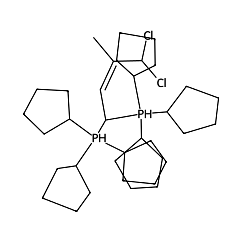 CC(=CC([PH](C1CCCC1)(C1CCCC1)C1CCCC1)[PH](C1CCCC1)(C1CCCC1)C1CCCC1)C(Cl)Cl